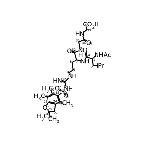 CC(=O)N[C@@H](CC(C)C)C(=O)N[C@@H](CCCNC(=N)NS(=O)(=O)c1c(C)c(C)c2c(c1C)CC(C)(C)O2)C(=O)NCC(=O)NCC(=O)O